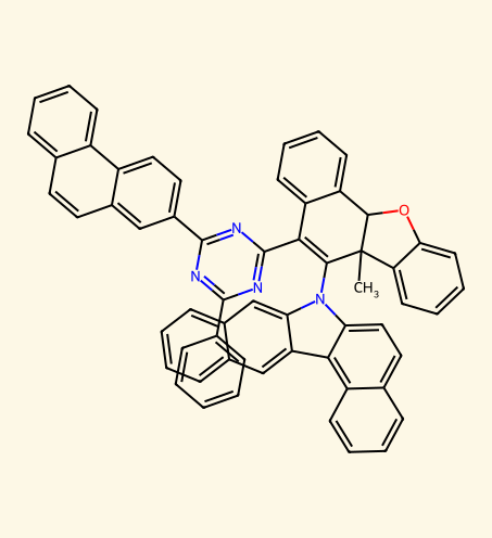 CC12C(n3c4cc5ccccc5cc4c4c5ccccc5ccc43)=C(c3nc(-c4ccccc4)nc(-c4ccc5c(ccc6ccccc65)c4)n3)c3ccccc3C1Oc1ccccc12